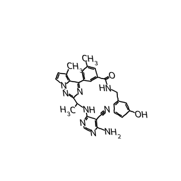 Cc1cc(C(=O)NCc2cccc(O)c2)cc(-c2nc(C(C)Nc3ncnc(N)c3C#N)nn3ccc(C)c23)c1